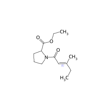 CCOC(=O)C1CCCN1C(=O)/C=C(\C)CC